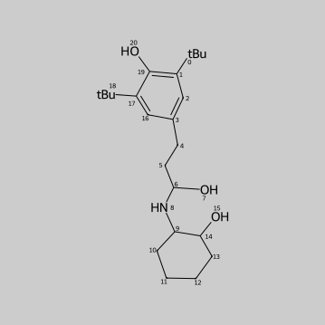 CC(C)(C)c1cc(CCC(O)NC2CCCCC2O)cc(C(C)(C)C)c1O